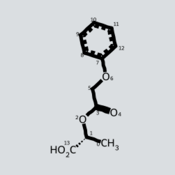 C[C@@H](OC(=O)COc1ccccc1)C(=O)O